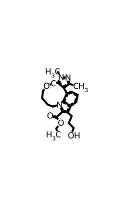 CCOC(=O)c1c(CCCO)c2cccc3c2n1CCCCOCc1c-3c(C)nn1C